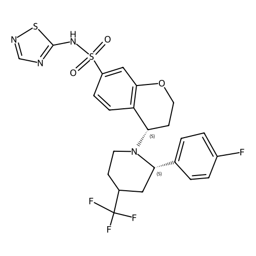 O=S(=O)(Nc1ncns1)c1ccc2c(c1)OCC[C@@H]2N1CCC(C(F)(F)F)C[C@H]1c1ccc(F)cc1